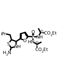 CCOC(=O)[C@H](C)NP(=O)(N[C@@H](C)C(=O)OCC)c1ccc(C2NC(N)SC2CC(C)C)o1